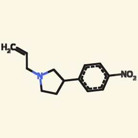 C=CCN1CCC(c2ccc([N+](=O)[O-])cc2)C1